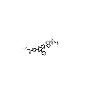 CCCNc1ncc(-c2nc(N3CCOCC3)c3nc(-c4cccc(NS(=O)(=O)CCCF)c4F)ccc3n2)cn1